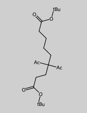 CC(=O)C(CCCCC(=O)OC(C)(C)C)(CCC(=O)OC(C)(C)C)C(C)=O